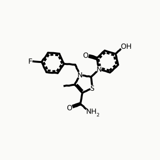 CC1=C(C(N)=O)SC(n2ccc(O)cc2=O)N1Cc1ccc(F)cc1